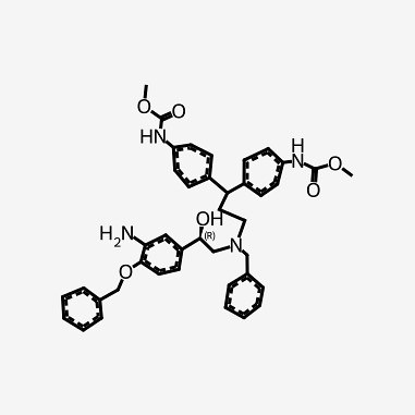 COC(=O)Nc1ccc(C(CCN(Cc2ccccc2)C[C@H](O)c2ccc(OCc3ccccc3)c(N)c2)c2ccc(NC(=O)OC)cc2)cc1